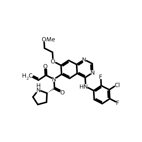 C=CC(=O)N(C(=O)[C@@H]1CCCN1)c1cc2c(Nc3ccc(F)c(Cl)c3F)ncnc2cc1OCCOC